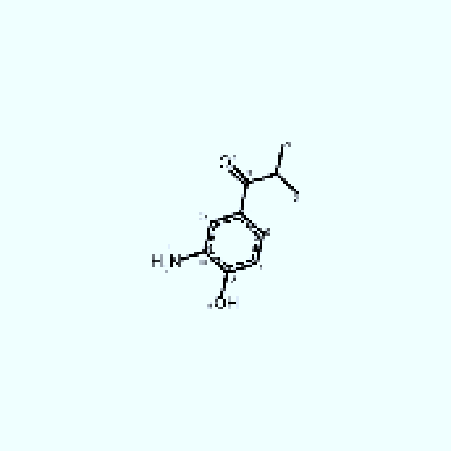 CC(C)C(=O)c1ccc(O)c(N)c1